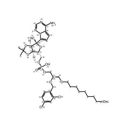 CCCCCCCCCCCCCCCCCCOC[C@H](COP(=O)(O)OC[C@H]1O[C@@](C#N)(c2ccc3c(N)ncnn23)[C@@H]2OC(C)(C)O[C@@H]21)OCc1ccc(Cl)cc1Cl